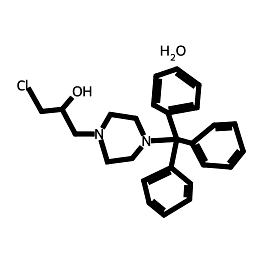 O.OC(CCl)CN1CCN(C(c2ccccc2)(c2ccccc2)c2ccccc2)CC1